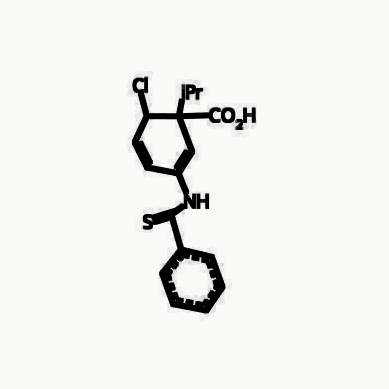 CC(C)C1(C(=O)O)C=C(NC(=S)c2ccccc2)C=CC1Cl